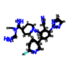 CN(C=N)C(=N)C1CCN(c2c(-c3ccc(F)nc3)ccc(-n3nccn3)c2C#N)CC1